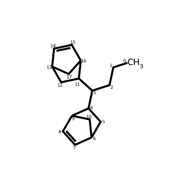 CCCC(C1CC2C=CC1C2)C1CC2C=CC1C2